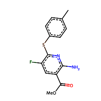 COC(=O)c1cc(F)c(Sc2ccc(C)cc2)nc1N